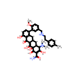 COc1ccc(CNCCc2ccc(C)cc2)cc1-c1ccc(O)c2c1CC1CC3C(N(C)C)C(O)=C(C(N)=O)C(=O)C3(O)C(O)=C1C2=O